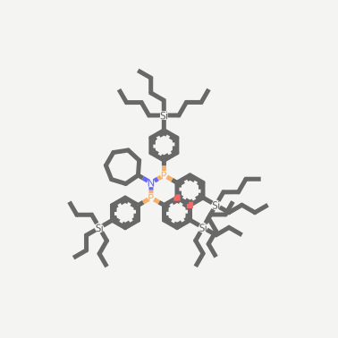 CCCC[Si](CCCC)(CCCC)c1ccc(P(c2ccc([Si](CCCC)(CCCC)CCCC)cc2)N(C2CCCCCC2)P(c2ccc([Si](CCC)(CCC)CCC)cc2)c2ccc([Si](CCC)(CCC)CCC)cc2)cc1